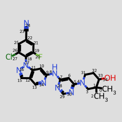 CC1(C)CN(c2cc(Nc3cc4c(cn3)cnn4-c3c(F)cc(C#N)cc3Cl)ncn2)CCC1O